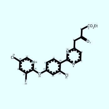 CCOC(=O)CC(=O)Cc1ccnc(-c2ccc(Oc3ncc(Cl)cc3F)cc2Cl)n1